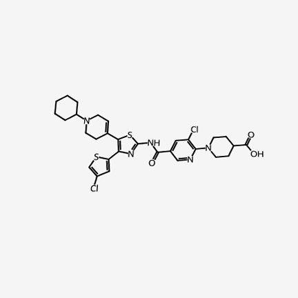 O=C(Nc1nc(-c2cc(Cl)cs2)c(C2=CCN(C3CCCCC3)CC2)s1)c1cnc(N2CCC(C(=O)O)CC2)c(Cl)c1